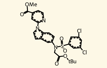 COC(=O)c1ccnc(-n2ccc3cc(N(CC(=O)OC(C)(C)C)S(=O)(=O)c4cc(Cl)cc(Cl)c4)ccc32)c1